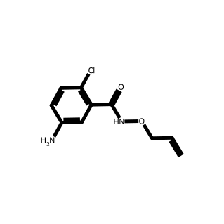 C=CCONC(=O)c1cc(N)ccc1Cl